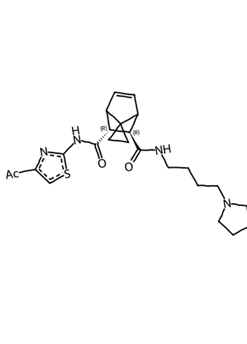 CC(=O)c1csc(NC(=O)[C@@H]2C3C=CC([C@H]2C(=O)NCCCCN2CCCC2)C32CC2)n1